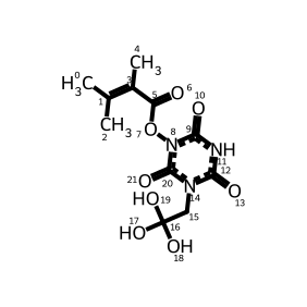 CC(C)=C(C)C(=O)On1c(=O)[nH]c(=O)n(CC(O)(O)O)c1=O